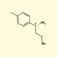 Cc1ccc([C@H](N)CCC(C)(C)C)cc1